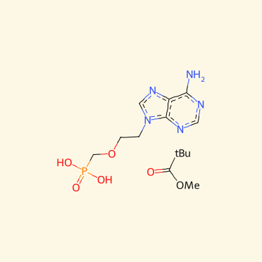 COC(=O)C(C)(C)C.Nc1ncnc2c1ncn2CCOCP(=O)(O)O